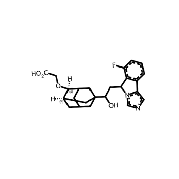 O=C(O)CO[C@H]1C2CC3C[C@@H]1CC(C(O)CC1c4c(F)cccc4-c4cncn41)(C3)C2